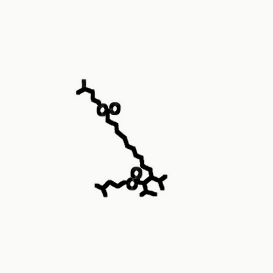 CC(C)CCCOC(=O)CCCCCCCCCCC(C(C)C)C(C(=O)OCCCC(C)C)C(C)C